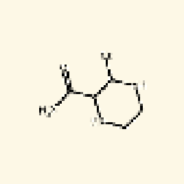 CCC1NCCNC1C(N)=O